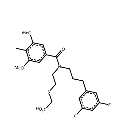 COc1cc(C(=O)N(CCCc2cc(F)cc(F)c2)CCSCC(=O)O)cc(OC)c1C